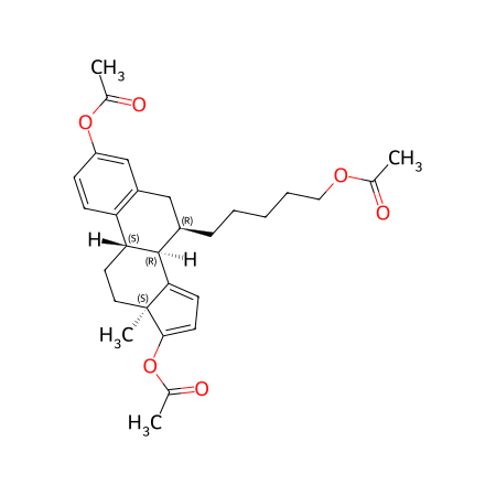 CC(=O)OCCCCC[C@@H]1Cc2cc(OC(C)=O)ccc2[C@H]2CC[C@]3(C)C(OC(C)=O)=CC=C3[C@H]12